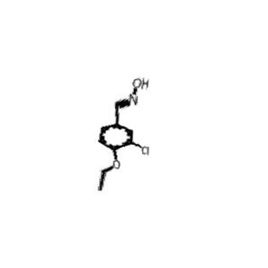 CCOc1ccc(C=NO)cc1Cl